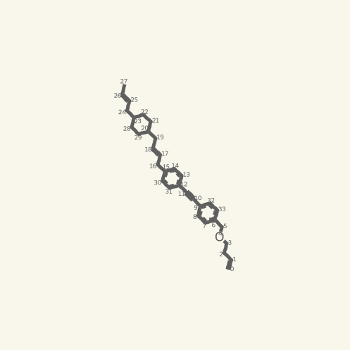 C=CCCOCc1ccc(C#Cc2ccc(CC=CCC3CCC(CC=CC)CC3)cc2)cc1